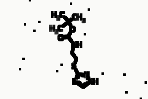 CC(C)(C)OC(=O)NCCSc1nc[nH]n1